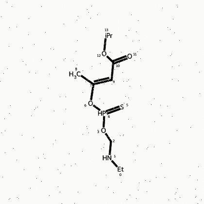 CCNCO[PH](=S)OC(C)=CC(=O)OC(C)C